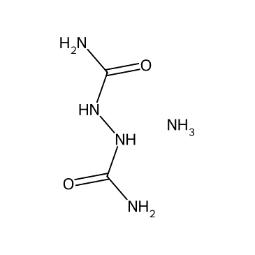 N.NC(=O)NNC(N)=O